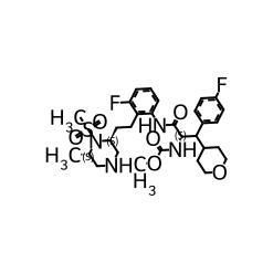 COC(=O)N[C@H](C(=O)Nc1cccc(F)c1CC[C@H]1CNC[C@H](C)N1S(C)(=O)=O)C(c1ccc(F)cc1)C1CCOCC1